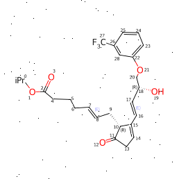 CC(C)OC(=O)CCC/C=C/C[C@H]1C(=O)CC=C1/C=C/[C@@H](O)COc1cccc(C(F)(F)F)c1